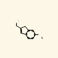 COc1ccc2c(c1)CC(CCl)=C2